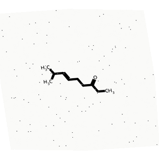 CCC(=O)CC/C=C/C(C)C